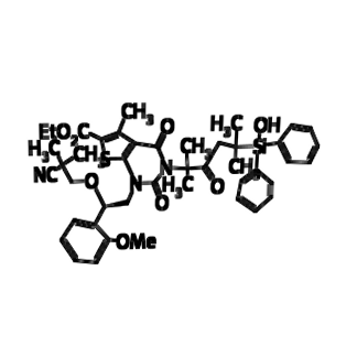 CCOC(=O)c1sc2c(c1C)c(=O)n(C(C)(C)C(=O)CC(C)(C)[Si](O)(c1ccccc1)c1ccccc1)c(=O)n2C[C@H](OCC(C)(C)C#N)c1ccccc1OC